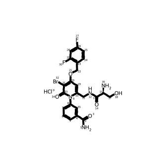 Cl.NC(=O)c1cccc(-n2c(CNC(=O)[C@@H](N)CO)cc(OCc3ccc(F)cc3F)c(Br)c2=O)c1